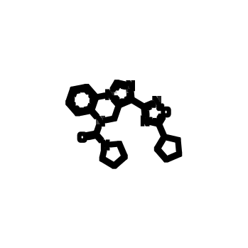 O=C(N1CCCC1)N1Cc2c(-c3noc(C4CCCC4)n3)ncn2-c2ccccc21